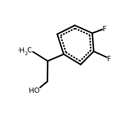 [CH2]C(CO)c1ccc(F)c(F)c1